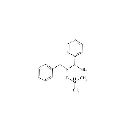 C[SiH](C)ON(Cc1ccccc1)C(c1ccccc1)C(C)(C)C